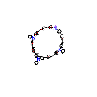 IN1c2ccc(cc2)-c2ccc(cc2)-c2ccc(cc2)N(c2ccccc2)c2ccc(cc2)-c2ccc(cc2)-c2ccc3c(c2)c2cc(ccc2n3-c2ccccc2)-c2ccc(cc2)-c2ccc(cc2)N(c2ccccc2)c2ccc(cc2)-c2ccc(cc2)-c2ccc1cc2